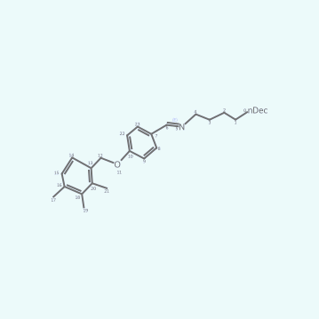 CCCCCCCCCCCCCC/N=C/c1ccc(OCc2ccc(C)c(C)c2C)cc1